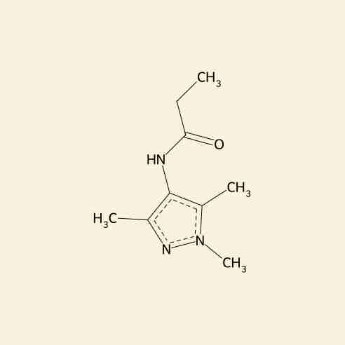 CCC(=O)Nc1c(C)nn(C)c1C